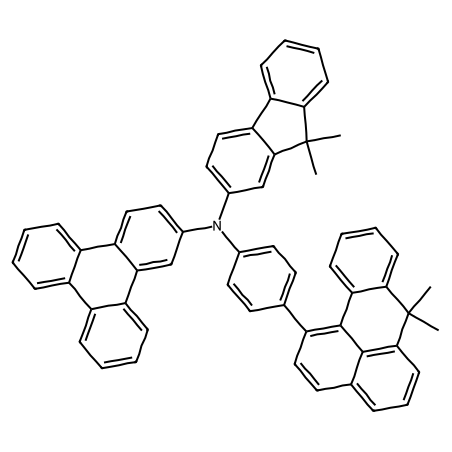 CC1(C)c2ccccc2-c2ccc(N(c3ccc(-c4ccc5cccc6c5c4-c4ccccc4C6(C)C)cc3)c3ccc4c5ccccc5c5ccccc5c4c3)cc21